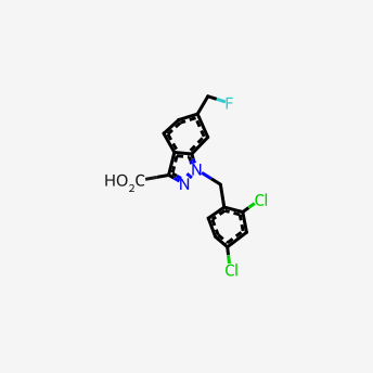 O=C(O)c1nn(Cc2ccc(Cl)cc2Cl)c2cc(CF)ccc12